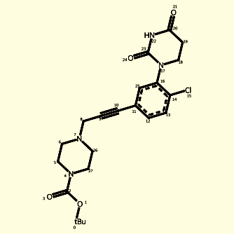 CC(C)(C)OC(=O)N1CCN(CC#Cc2ccc(Cl)c(N3CCC(=O)NC3=O)c2)CC1